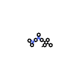 Cc1ccc2c(-c3ccccc3)c3ccccc3c(-c3ccc(N(c4ccccc4)c4ccc(-n5c6ccccc6c6ccccc65)cc4)cc3)c2c1